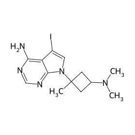 CN(C)C1CC(C)(n2cc(I)c3c(N)ncnc32)C1